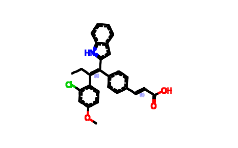 CC/C(=C(/c1ccc(/C=C/C(=O)O)cc1)c1cc2ccccc2[nH]1)c1ccc(OC)cc1Cl